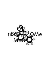 CCCCOC(=O)C(C)(P=O)C1(C(=O)c2c(OC)cccc2OC)CCCCC1